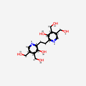 OCc1cnc(CCc2ncc(CO)c(CO)c2O)c(O)c1CO